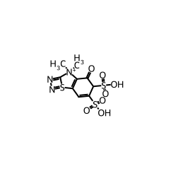 C[N+]1(C)C2=NN=S2C2=C1C(=O)C(S(=O)(=O)O)C(S(=O)(=O)O)=C2